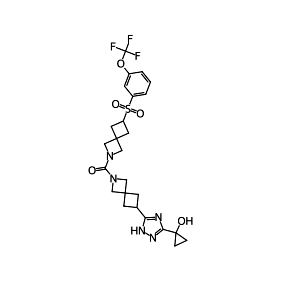 O=C(N1CC2(CC(c3nc(C4(O)CC4)n[nH]3)C2)C1)N1CC2(CC(S(=O)(=O)c3cccc(OC(F)(F)F)c3)C2)C1